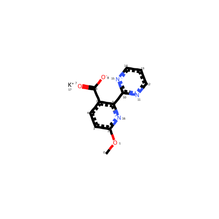 COc1ccc(C(=O)[O-])c(-c2ncccn2)n1.[K+]